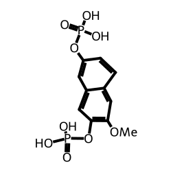 COc1cc2ccc(OP(=O)(O)O)cc2cc1OP(=O)(O)O